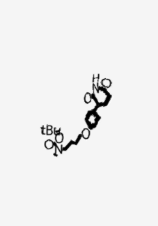 CN(CCCCOc1ccc(C2CCC(=O)NC2=O)cc1)C(=O)OC(C)(C)C